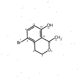 [CH2]C1OCCc2c(Br)ccc(O)c21